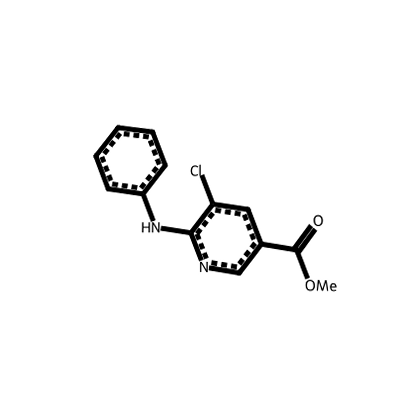 COC(=O)c1cnc(Nc2ccccc2)c(Cl)c1